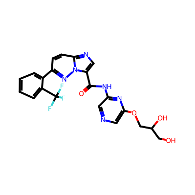 O=C(Nc1cncc(OCC(O)CO)n1)c1cnc2ccc(-c3ccccc3C(F)(F)F)nn12